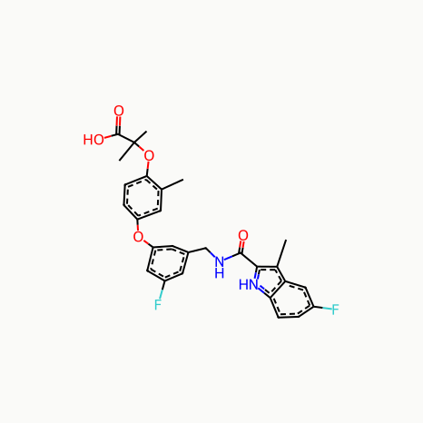 Cc1cc(Oc2cc(F)cc(CNC(=O)c3[nH]c4ccc(F)cc4c3C)c2)ccc1OC(C)(C)C(=O)O